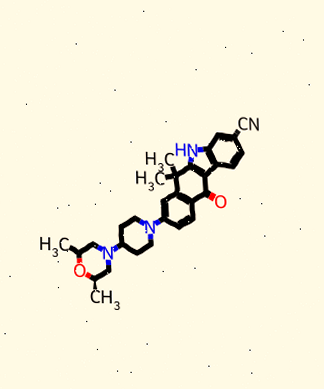 CC1CN(C2CCN(c3ccc4c(c3)C(C)(C)c3[nH]c5cc(C#N)ccc5c3C4=O)CC2)C[C@@H](C)O1